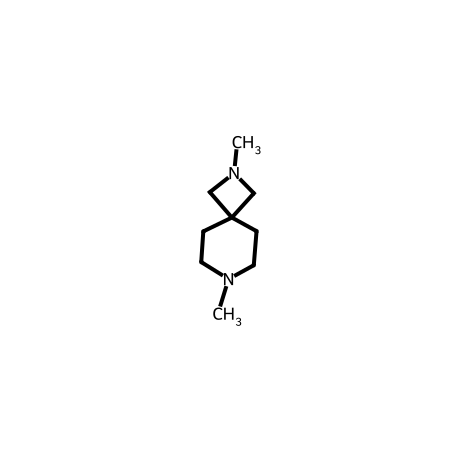 CN1CCC2(CC1)CN(C)C2